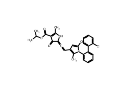 CC1=C(C(=O)OC(C)C)C(=O)C(=C=Cc2cc(C)n(-c3ccccc3-c3ccccc3Cl)c2C)N1